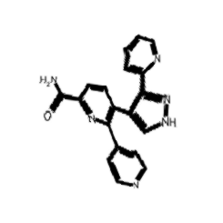 NC(=O)c1ccc(-c2c[nH]nc2-c2ccccn2)c(-c2ccncc2)n1